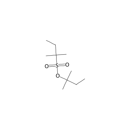 CCC(C)(C)OS(=O)(=O)C(C)(C)CC